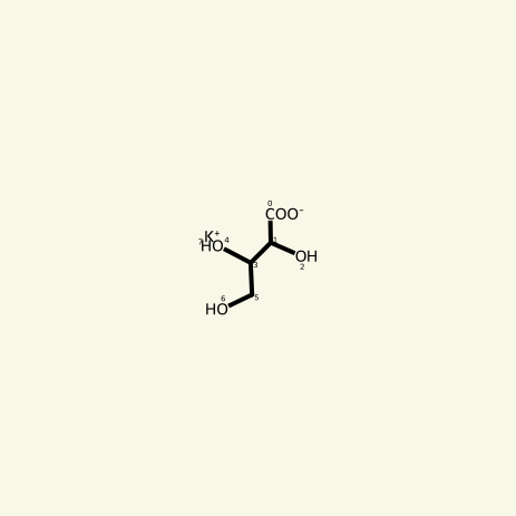 O=C([O-])C(O)C(O)CO.[K+]